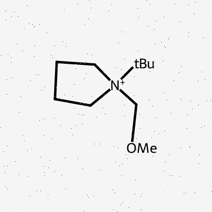 COC[N+]1(C(C)(C)C)CCCC1